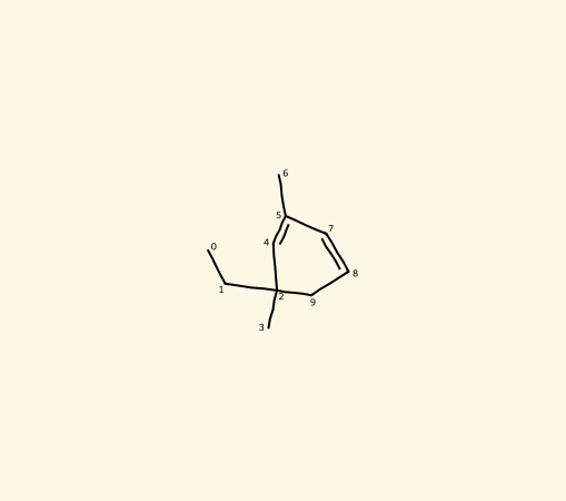 CCC1(C)C=C(C)C=CC1